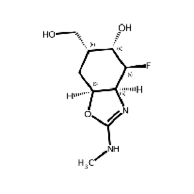 CNC1=N[C@@H]2[C@H](F)[C@@H](O)[C@@H](CO)C[C@@H]2O1